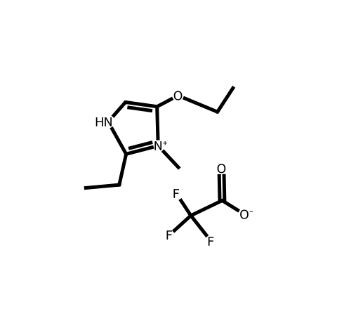 CCOc1c[nH]c(CC)[n+]1C.O=C([O-])C(F)(F)F